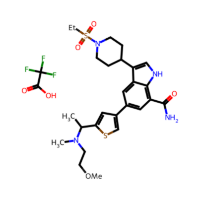 CCS(=O)(=O)N1CCC(c2c[nH]c3c(C(N)=O)cc(-c4csc(C(C)N(C)CCOC)c4)cc23)CC1.O=C(O)C(F)(F)F